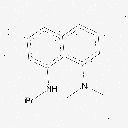 CC(C)Nc1cccc2cccc(N(C)C)c12